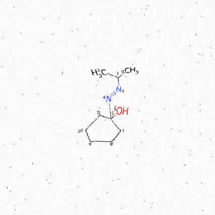 CC(C)/N=N/C1(O)CCCCC1